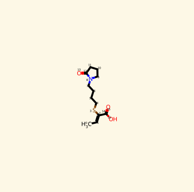 C/C=C(\SCCCCN1CCCC1=O)C(=O)O